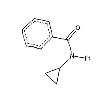 CCN(C(=O)c1ccccc1)C1CC1